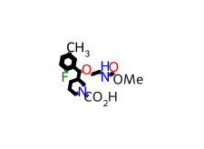 COC(=O)NCCOC(c1cc(C)ccc1F)C1CCCN(C(=O)O)C1